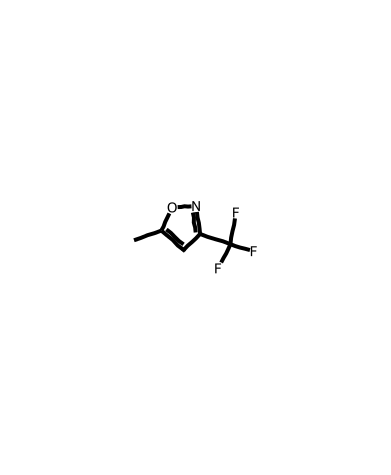 Cc1cc(C(F)(F)F)no1